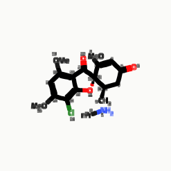 CCCN.COC1=CC(=O)C[C@@H](C)[C@]12Oc1c(Cl)c(OC)cc(OC)c1C2=O